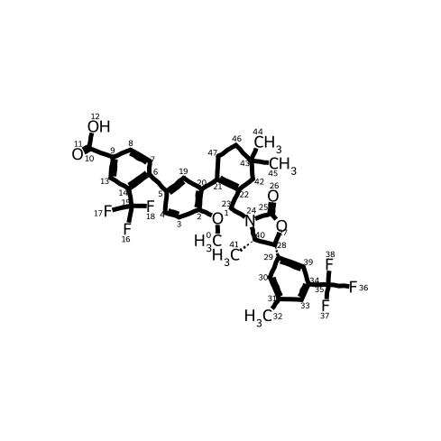 COc1ccc(-c2ccc(C(=O)O)cc2C(F)(F)F)cc1C1=C(CN2C(=O)O[C@H](c3cc(C)cc(C(F)(F)F)c3)[C@@H]2C)CC(C)(C)CC1